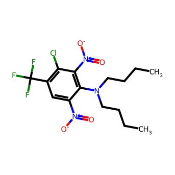 CCCCN(CCCC)c1c([N+](=O)[O-])cc(C(F)(F)F)c(Cl)c1[N+](=O)[O-]